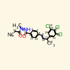 CN(NC(=O)c1ccc(/C=C/C(c2cc(Cl)c(Cl)c(Cl)c2)C(F)(F)F)cc1)C(=O)CC#N